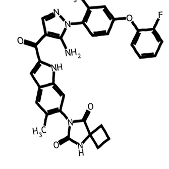 Cc1cc2cc(C(=O)c3cnn(-c4ccc(Oc5ccccc5F)cc4C)c3N)[nH]c2cc1N1C(=O)NC2(CCC2)C1=O